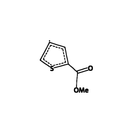 COC(=O)c1c[c]cs1